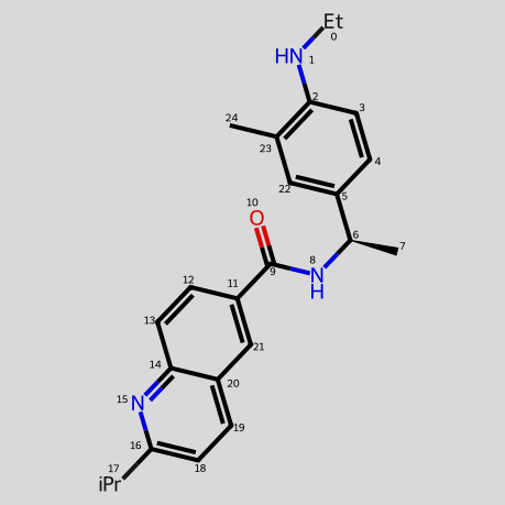 CCNc1ccc([C@@H](C)NC(=O)c2ccc3nc(C(C)C)ccc3c2)cc1C